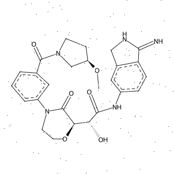 CO[C@@H]1CCN(C(=O)c2cccc(N3CCO[C@H]([C@@H](O)C(=O)Nc4ccc5c(c4)CNC5=N)C3=O)c2)C1